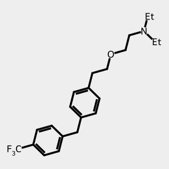 CCN(CC)CCOCCc1ccc(Cc2ccc(C(F)(F)F)cc2)cc1